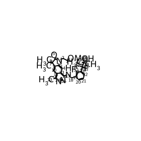 COCCN1C(=O)C(C)(C)c2cc3c(C)nnc(NCc4cccc(C(F)(F)C(C)(C)O)c4F)c3cc21